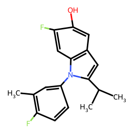 Cc1cc(-n2c(C(C)C)cc3cc(O)c(F)cc32)ccc1F